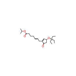 CC[Si](CC)(CC)OC1C=C(CC=CCCCC(=O)OC(C)C)C(=O)C1